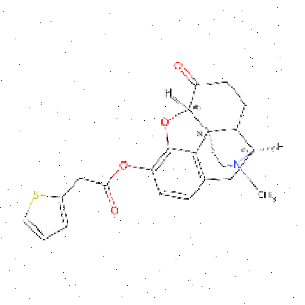 CN1CC[C@]23c4c5ccc(OC(=O)Cc6cccs6)c4O[C@H]2C(=O)CCC3[C@H]1C5